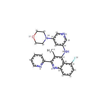 Cc1c(-c2ccccn2)nc2cccc(F)c2c1Nc1cncc(N2CCOCC2)c1